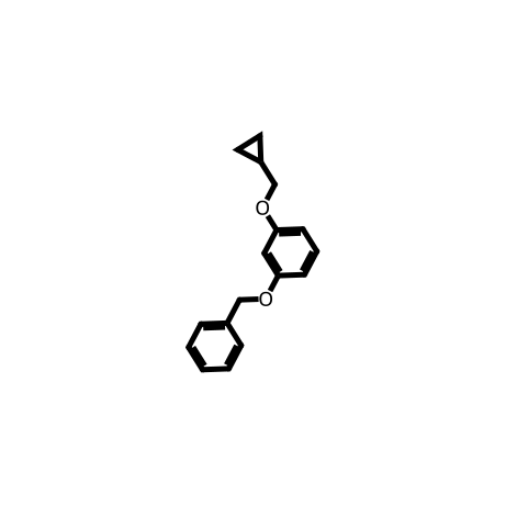 c1ccc(COc2cccc(OCC3CC3)c2)cc1